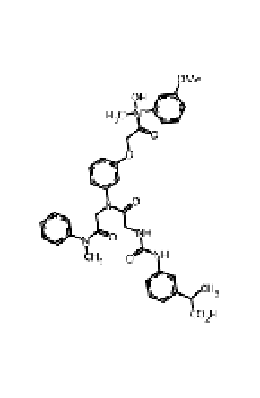 COc1cccc([N+](C)(O)C(=O)COc2cccc(N(CC(=O)N(C)c3ccccc3)C(=O)CNC(=O)Nc3cccc(C(C)C(=O)O)c3)c2)c1